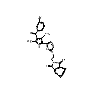 Cc1[nH]c(-c2nnn(CCN3C(=O)c4ccccc4C3=O)n2)c(C)c1C(=O)c1cccc(Br)c1